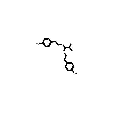 CC(C)C(OCCc1ccc(O)cc1)OCCc1ccc(O)cc1